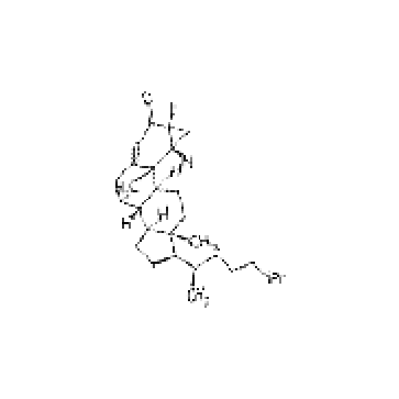 CC(C)CCC[C@@H](C)[C@H]1CC[C@H]2[C@@H]3C=CC4=CC(=O)[C@@H]5C[C@@H]5[C@]4(C)[C@H]3CC[C@]12C